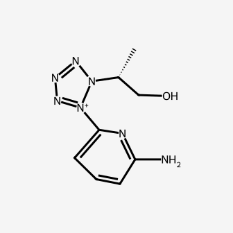 C[C@H](CO)n1nnn[n+]1-c1cccc(N)n1